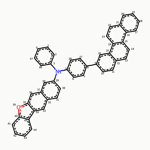 c1ccc(N(c2ccc(-c3ccc4ccc5c6ccccc6ccc5c4c3)cc2)c2ccc3cc4c(cc3c2)oc2ccccc24)cc1